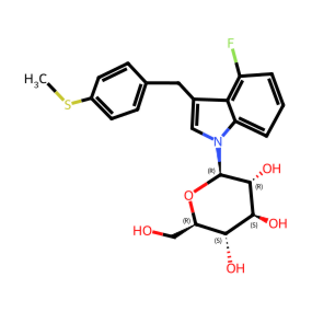 CSc1ccc(Cc2cn([C@@H]3O[C@H](CO)[C@@H](O)[C@H](O)[C@H]3O)c3cccc(F)c23)cc1